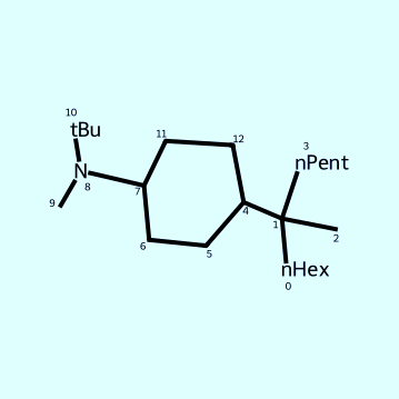 CCCCCCC(C)(CCCCC)C1CCC(N(C)C(C)(C)C)CC1